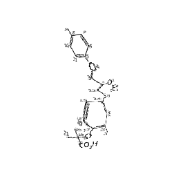 CCOC(COc1ccc(C)cc1)CSc1ccc(OC(C)(C)C(=O)O)c(C)c1